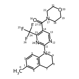 Cc1ccc2c(c1)CCCN2c1ncc(C(=O)N2CCOCC2)c(C(F)(F)F)n1